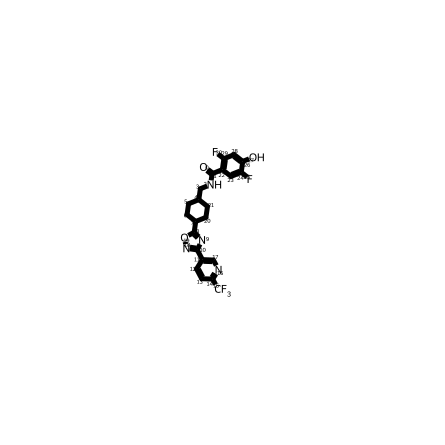 O=C(NCC1CCC(c2nc(-c3ccc(C(F)(F)F)nc3)no2)CC1)c1cc(F)c(O)cc1F